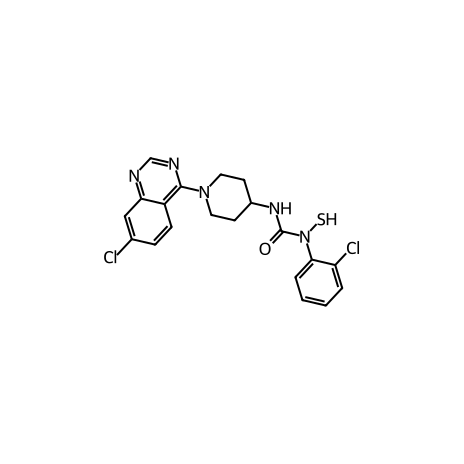 O=C(NC1CCN(c2ncnc3cc(Cl)ccc23)CC1)N(S)c1ccccc1Cl